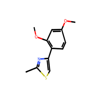 COc1ccc(-c2csc(C)n2)c(OC)c1